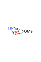 COc1ccc(C2(O)[C@H](C)CNC[C@@H]2C)cc1